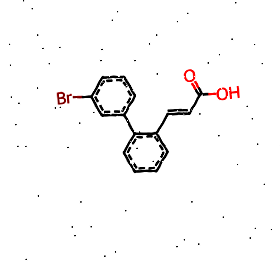 O=C(O)/C=C/c1ccccc1-c1cccc(Br)c1